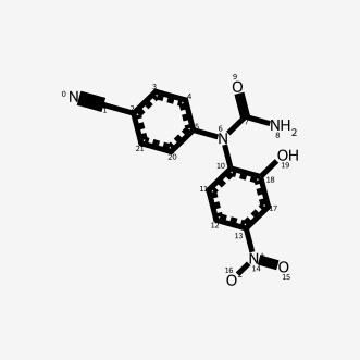 N#Cc1ccc(N(C(N)=O)c2ccc([N+](=O)[O-])cc2O)cc1